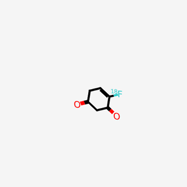 O=C1CC=C([18F])C(=O)C1